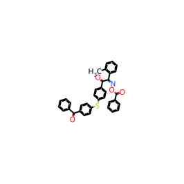 Cc1ccccc1/C(=N/OC(=O)c1ccccc1)C(=O)c1ccc(Sc2ccc(C(=O)c3ccccc3)cc2)cc1